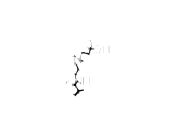 C=C(C)C(=O)NCCC[N+](C)(C)CCC(=O)O